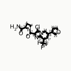 NC(=O)C1[CH]CN1C(=O)c1nc2c(C(F)(F)F)cc(-c3ccoc3)cn2c1Cl